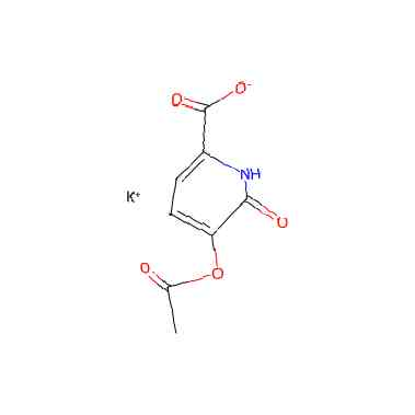 CC(=O)Oc1ccc(C(=O)[O-])[nH]c1=O.[K+]